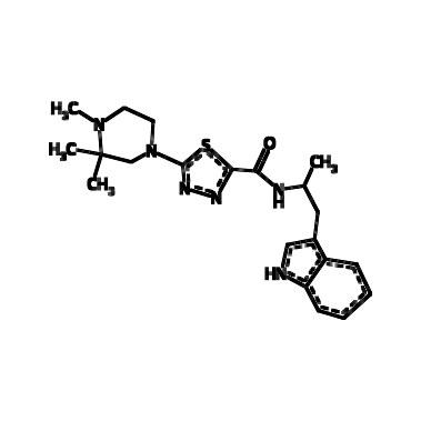 CC(Cc1c[nH]c2ccccc12)NC(=O)c1nnc(N2CCN(C)C(C)(C)C2)s1